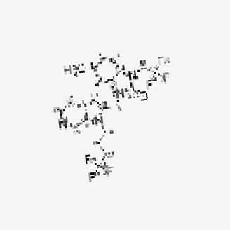 Cc1ccc2c(c1)n(Cc1cc3ccncc3n1CCCC(F)(F)F)c(=O)n2CC(F)(F)F